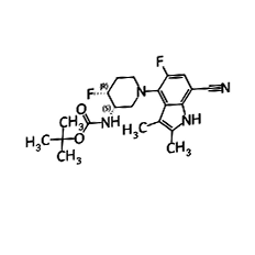 Cc1[nH]c2c(C#N)cc(F)c(N3CC[C@@H](F)[C@@H](NC(=O)OC(C)(C)C)C3)c2c1C